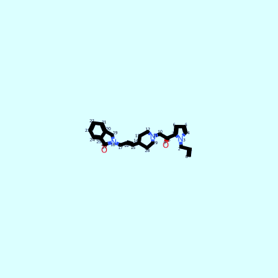 C=CCn1cccc1C(=O)CN1CCC(C=CCN2Cc3ccccc3C2=O)CC1